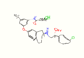 COC(=O)Nc1cc(Oc2ccc3c(c2)C[C@@H](NC[C@H](O)c2cccc(Cl)c2)CC3)cc(C(=O)O)c1.Cl